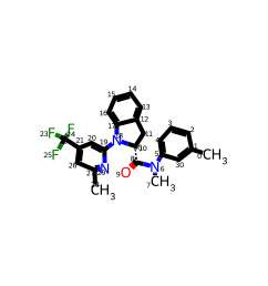 Cc1cccc(N(C)C(=O)[C@H]2Cc3ccccc3N2c2cc(C(F)(F)F)cc(C)n2)c1